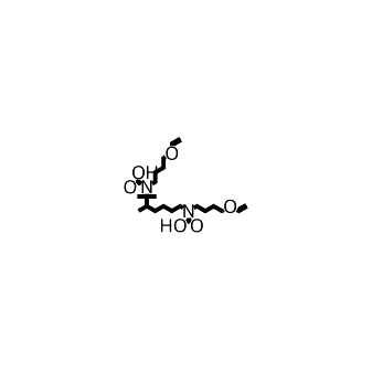 C=COCCCCN(CCCCC(C)C(C)(C)N(CCCCOC=C)C(=O)O)C(=O)O